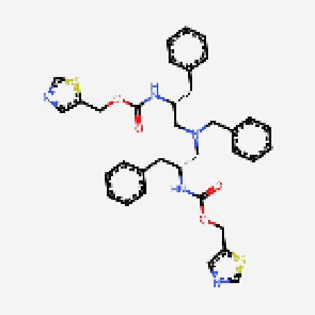 O=C(N[C@H](Cc1ccccc1)CN(Cc1ccccc1)C[C@@H](Cc1ccccc1)NC(=O)OCc1cncs1)OCc1cncs1